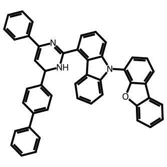 C1=C(c2ccccc2)N=C(c2cccc3c2c2ccccc2n3-c2cccc3c2oc2ccccc23)NC1c1ccc(-c2ccccc2)cc1